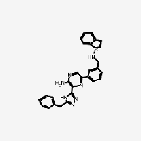 Nc1ncc(-c2cccc(CN[C@H]3CCc4ccccc43)c2)nc1-c1nnc(Cc2ccccc2)[nH]1